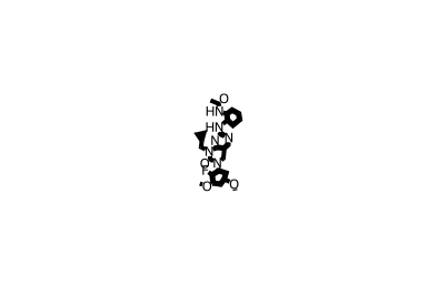 COc1cc(OC)c(F)c(N2Cc3cnc(Nc4ccccc4NC(C)=O)nc3N(CC3CC3)C2=O)c1